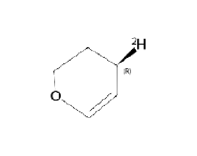 [2H][C@H]1C=COCC1